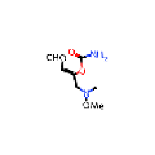 CON(C)CC(=CC=O)OC(N)=O